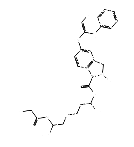 CC(=O)N1Cc2cc(N/C(=C/[N+](=O)[O-])Nc3ccccc3)ccc2C1C(=O)NC(CCSCC(NC(=O)CC(C)(C)C)C(=O)O)C(=O)O